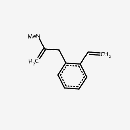 C=Cc1ccccc1CC(=C)NC